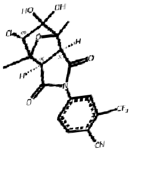 CC12OC(C)([C@H]3C(=O)N(c4ccc(C#N)c(C(F)(F)F)c4)C(=O)[C@H]31)C(O)(O)[C@@H]2Cl